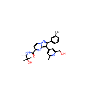 Cc1cc(-c2c(-c3cccc(C#N)c3)nn3ccc(C(=O)N[C@@H](C)C(C)(C)O)nc23)cc(CO)n1